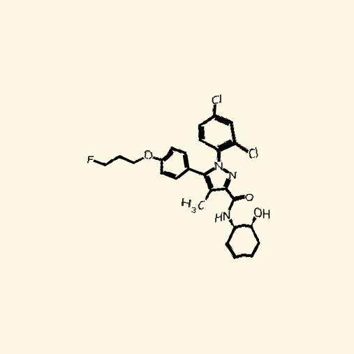 Cc1c(C(=O)N[C@@H]2CCCC[C@@H]2O)nn(-c2ccc(Cl)cc2Cl)c1-c1ccc(OCCCF)cc1